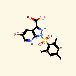 Cc1cc(C)c(S(=O)(=O)n2nc(C(=O)O)c3cc(Br)cnc32)c(C)c1